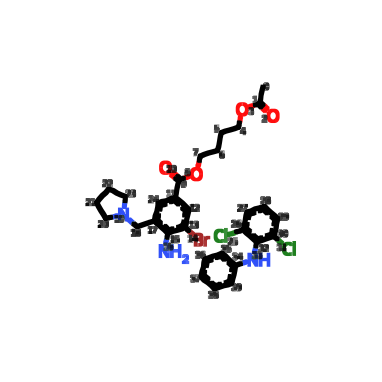 CC(=O)OCCCCOC(=O)c1cc(Br)c(N)c(CN2CCCC2)c1.Clc1cccc(Cl)c1Nc1ccccc1